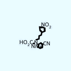 CNC(C(=O)O)N(CCCCc1ccc([N+](=O)[O-])cc1)c1cccc(C#N)c1